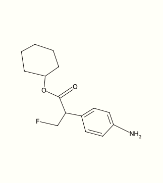 Nc1ccc(C(CF)C(=O)OC2CCCCC2)cc1